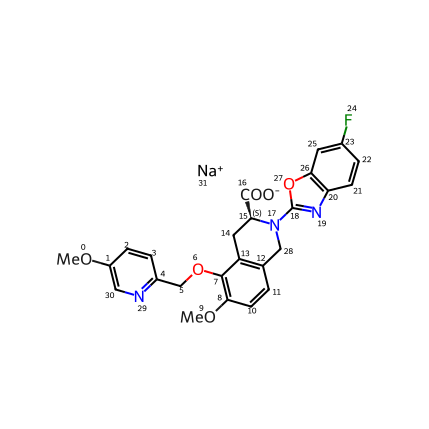 COc1ccc(COc2c(OC)ccc3c2C[C@@H](C(=O)[O-])N(c2nc4ccc(F)cc4o2)C3)nc1.[Na+]